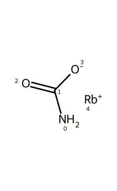 NC(=O)[O-].[Rb+]